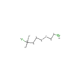 CC(C)(F)CCCCCCBr